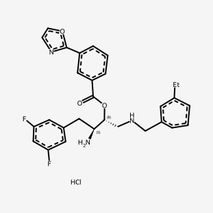 CCc1cccc(CNC[C@@H](OC(=O)c2cccc(-c3ncco3)c2)[C@@H](N)Cc2cc(F)cc(F)c2)c1.Cl